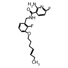 CCC=CCCCOc1cccc(CNC(=O)c2ccc(F)nc2N)c1F